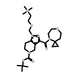 CC(C)(C)OC(=O)N1CCc2c(c(C(=O)N3CCOCCC34CC4)nn2COCC[Si](C)(C)C)C1